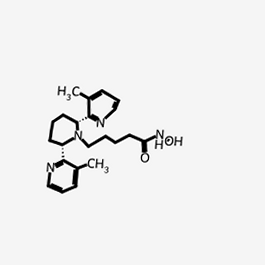 Cc1cccnc1[C@H]1CCC[C@@H](c2ncccc2C)N1CCCCC(=O)NO